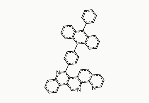 c1ccc(-c2c3ccccc3c(-c3ccc(-c4nc5ccccc5c5cnc6c(ccc7cccnc76)c45)cc3)c3ccccc23)cc1